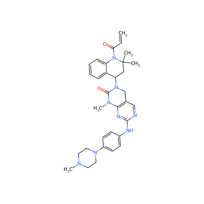 C=CC(=O)N1c2ccccc2C(N2Cc3cnc(Nc4ccc(N5CCN(C)CC5)cc4)nc3N(C)C2=O)CC1(C)C